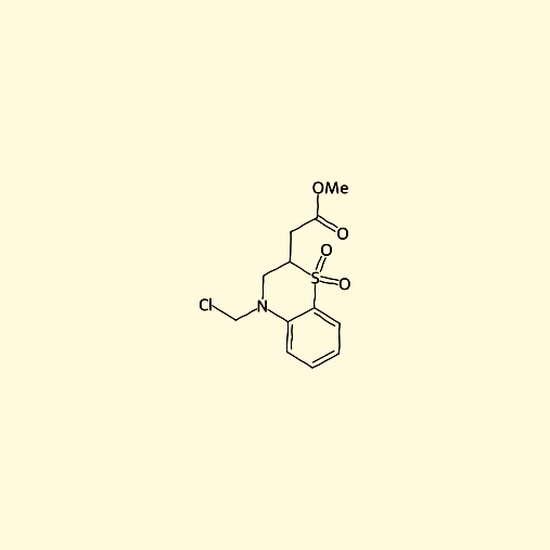 COC(=O)CC1CN(CCl)c2ccccc2S1(=O)=O